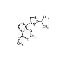 COC(=O)c1cccc(-c2csc(C(C)C)n2)c1OC